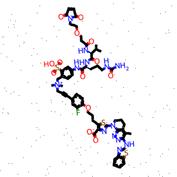 Cc1c(Nc2nc3ccccc3s2)nnc2c1CCCN2c1nc(C(=O)[O-])c(CCCOc2ccc(C#CC[N+](C)(C)Cc3ccc(NC(=O)[C@H](CCCNC(N)=O)NC(=O)[C@@H](NC(=O)CCOCCN4C(=O)C=CC4=O)C(C)C)cc3S(=O)(=O)O)cc2F)s1